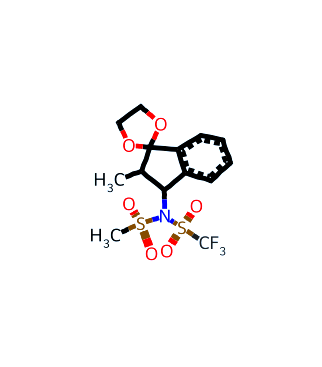 CC1C(N(S(C)(=O)=O)S(=O)(=O)C(F)(F)F)c2ccccc2C12OCCO2